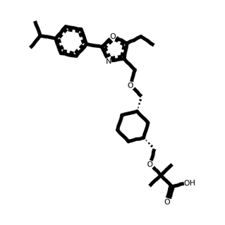 CCc1oc(-c2ccc(C(C)C)cc2)nc1COC[C@H]1CCC[C@@H](COC(C)(C)C(=O)O)C1